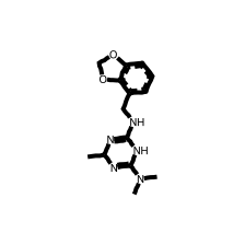 CC1N=C(NCc2cccc3c2OCO3)NC(N(C)C)=N1